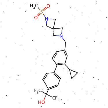 CS(=O)(=O)N1CC2(CN(Cc3ccc(-c4ccc(C(O)(C(F)(F)F)C(F)(F)F)cc4)c(C4CC4)c3)C2)C1